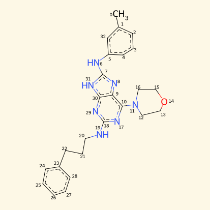 Cc1cccc(Nc2nc3c(N4CCOCC4)nc(NCCCc4ccccc4)nc3[nH]2)c1